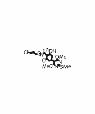 CCCC(=NOCC=CCl)C1=C(O)CC(c2c(OC)nc(SC)nc2OC)CC1=O